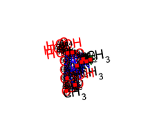 CCC1(O)C(=O)OCc2c1cc1n(c2=O)Cc2c-1nc1cc(F)c(C)c3c1c2C(NC(=O)OCc1ccc(OC2O[C@H](C(=O)O)C(O)C(O)C2O)c(CNC(=O)CCNC(=O)C(CNC(=O)CCOCCOC)NC(=O)CCCCCN2C(=O)C=CC2=O)c1)CC3